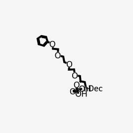 CCCCCCCCCCCC(COCCOCCOCCOc1ccccc1)OP(=O)(O)O